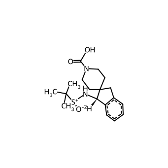 [2H][C@]1(N[S@+]([O-])C(C)(C)C)c2ccccc2CC12CCN(C(=O)O)CC2